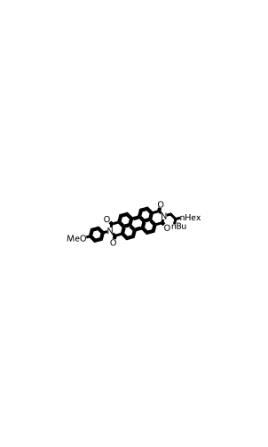 CCCCCCC(CCCC)CN1C(=O)c2ccc3c4ccc5c6c(ccc(c7ccc(c2c37)C1=O)c64)C(=O)N(c1ccc(OC)cc1)C5=O